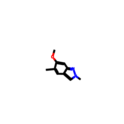 COc1cc2nn(C)cc2cc1C